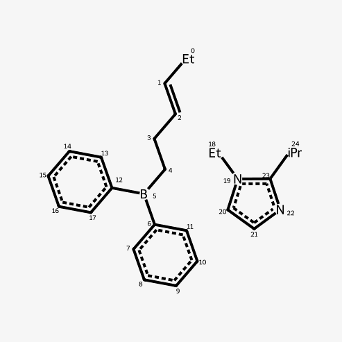 CCC=CCCB(c1ccccc1)c1ccccc1.CCn1ccnc1C(C)C